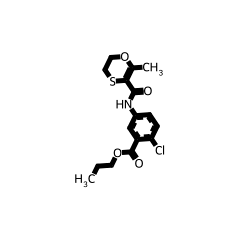 CCCOC(=O)c1cc(NC(=O)C2=C(C)OCCS2)ccc1Cl